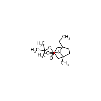 CCC12CC[C@](C)(CC(=O)C1)N2C(=O)OC(C)(C)C